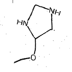 COC1[CH]NCN1